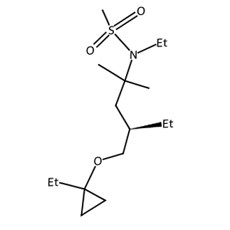 CC[C@@H](COC1(CC)CC1)CC(C)(C)N(CC)S(C)(=O)=O